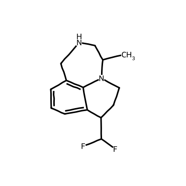 CC1CNCc2cccc3c2N1CCC3C(F)F